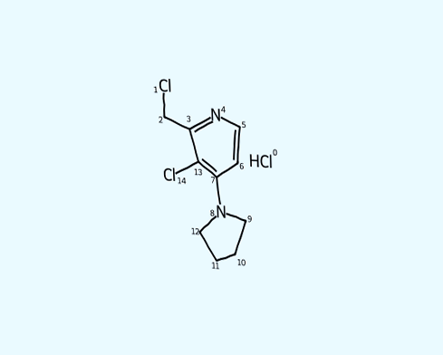 Cl.ClCc1nccc(N2CCCC2)c1Cl